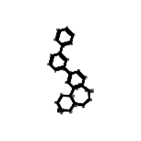 c1ccc(-c2cccc(-c3ccc4c(c3)N3CCNCC3CCN4)c2)cc1